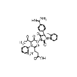 CC(=O)[C@@H](C(=O)ON1C(=O)N[C@](Cc2ccccc2)(c2ccc(C(=N)N)cc2)C1=O)N(C(=O)[C@@H](N)CC(=O)O)c1ccccc1